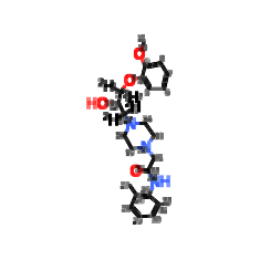 [2H]C([2H])(Oc1ccccc1OC)C(O)C([2H])([2H])N1CCN(CC(=O)Nc2c(C)cccc2C)CC1